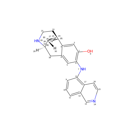 Oc1cc2c(cc1Nc1cccc3cnccc13)C[C@H]1NCC[C@@]23CCCC[C@@H]13